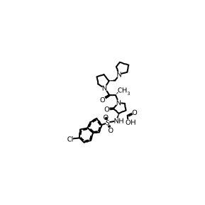 C[C@@H](C(=O)N1CCC[C@H]1CN1CCCC1)N1CC[C@@H](NS(=O)(=O)c2ccc3cc(Cl)ccc3c2)C1=O.O=CO